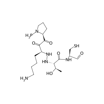 C[C@@H](O)[C@H](NN[C@@H](CCCCN)C(=O)C(=O)[C@@H]1CCCN1P)C(=O)N[C@H](C=O)CS